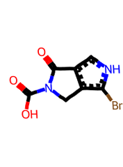 O=C(O)N1Cc2c(c[nH]c2Br)C1=O